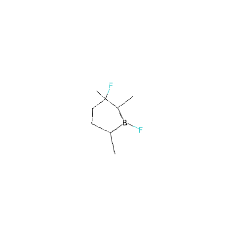 CC1CCC(C)(F)C(C)B1F